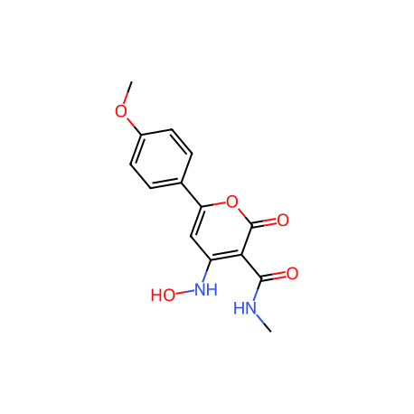 CNC(=O)c1c(NO)cc(-c2ccc(OC)cc2)oc1=O